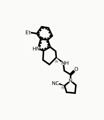 CCc1cccc2c3c([nH]c12)CC[C@H](NCC(=O)N1CCC[C@H]1C#N)C3